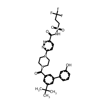 CC(C)(C)c1cc(C(=O)N2CCN(c3ccc(C(=O)NS(=O)(=O)CCC(F)(F)F)nn3)CC2)cc(-c2cccc(O)c2)c1